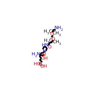 CC(C)(CCN)OCCOC(C)(C)CCC(=O)NC1CCN(CCC(N)(CCCCB(O)O)C(=O)O)CC1